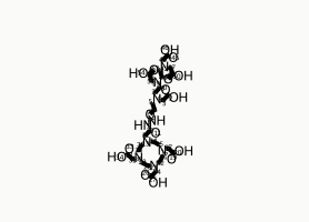 O=C(O)CN(CCONNC(=O)CN1CCN(CC(=O)O)CCN(CC(=O)O)CCN(CC(=O)O)CC1)CCN(CCN(CC(=O)O)CC(=O)O)CC(=O)O